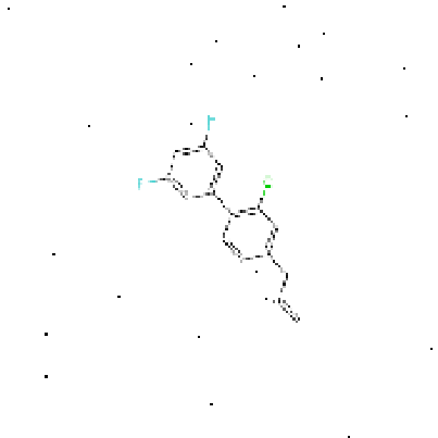 C=[C]Cc1ccc(-c2cc(F)cc(F)c2)c(Cl)c1